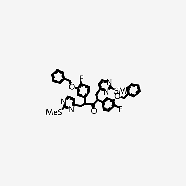 CSc1nccc(CC(C(=O)C(Cc2ccnc(SC)n2)c2ccc(F)c(OCc3ccccc3)c2)c2ccc(F)c(OCc3ccccc3)c2)n1